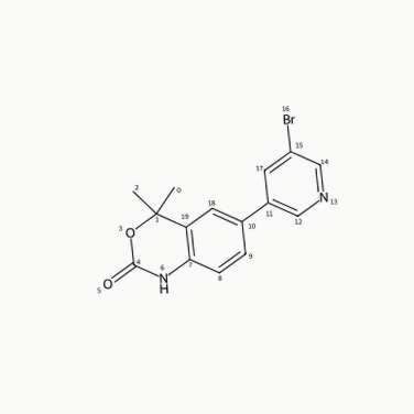 CC1(C)OC(=O)Nc2ccc(-c3cncc(Br)c3)cc21